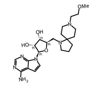 COCCN1CCC2(CCCN2C[C@H]2O[C@@H](n3ccc4c(N)ncnc43)[C@H](O)[C@@H]2O)CC1